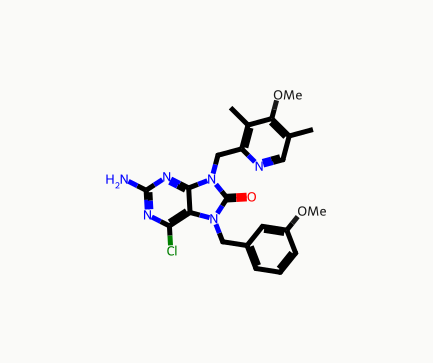 COc1cccc(Cn2c(=O)n(Cc3ncc(C)c(OC)c3C)c3nc(N)nc(Cl)c32)c1